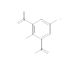 Nc1c(C(=O)O)cc(O)cc1C(=O)O